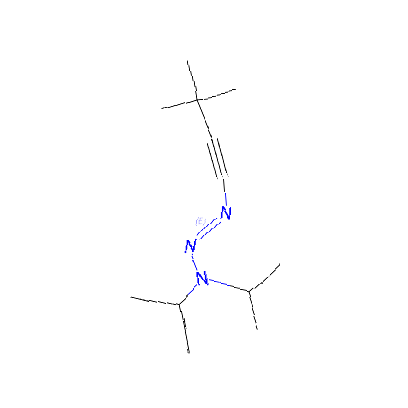 CC(C)N(/N=N/C#CC(C)(C)C)C(C)C